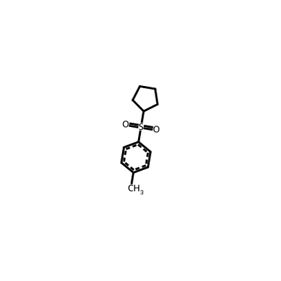 Cc1ccc(S(=O)(=O)C2CCCC2)cc1